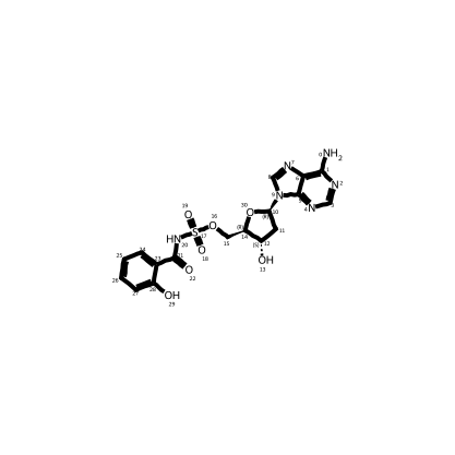 Nc1ncnc2c1ncn2[C@H]1C[C@H](O)[C@@H](COS(=O)(=O)NC(=O)c2ccccc2O)O1